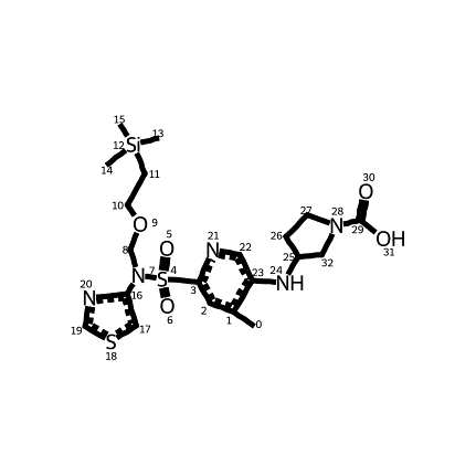 Cc1cc(S(=O)(=O)N(COCC[Si](C)(C)C)c2cscn2)ncc1NC1CCN(C(=O)O)C1